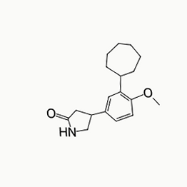 COc1ccc(C2CNC(=O)C2)cc1C1CCCCCC1